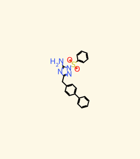 Nc1nc(Cc2ccc(-c3ccccc3)cc2)nn1S(=O)(=O)c1ccccc1